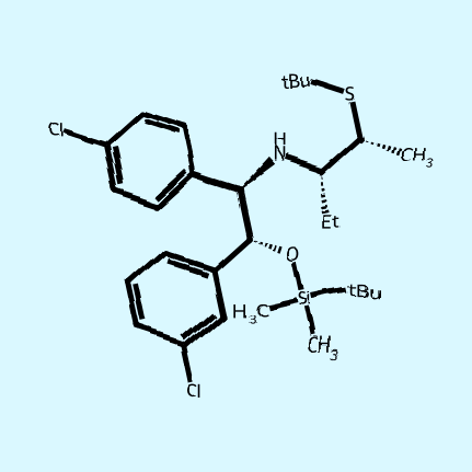 CC[C@H](N[C@H](c1ccc(Cl)cc1)[C@H](O[Si](C)(C)C(C)(C)C)c1cccc(Cl)c1)[C@@H](C)SC(C)(C)C